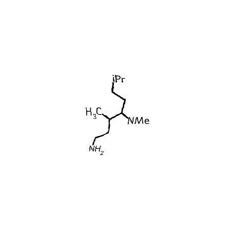 CNC(CCC(C)C)C(C)CCN